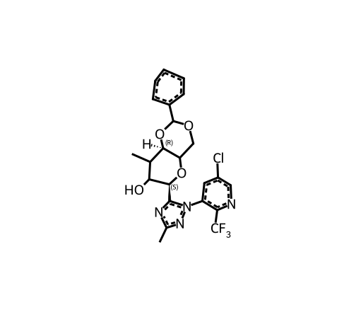 Cc1nc([C@@H]2OC3COC(c4ccccc4)O[C@@H]3C(C)C2O)n(-c2cc(Cl)cnc2C(F)(F)F)n1